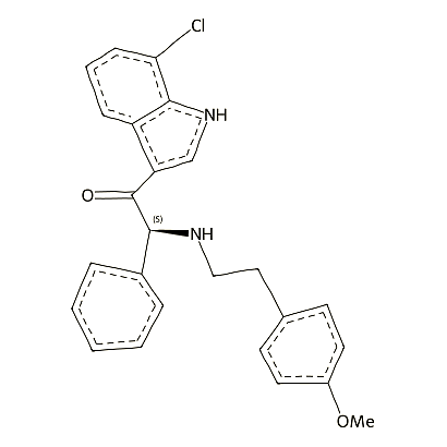 COc1ccc(CCN[C@H](C(=O)c2c[nH]c3c(Cl)cccc23)c2ccccc2)cc1